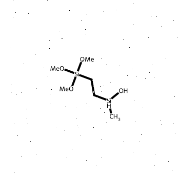 CO[Si](CC[SiH](C)O)(OC)OC